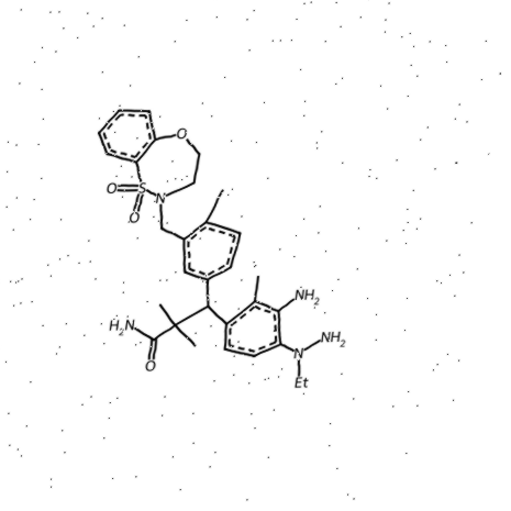 CCN(N)c1ccc(C(c2ccc(C)c(CN3CCOc4ccccc4S3(=O)=O)c2)C(C)(C)C(N)=O)c(C)c1N